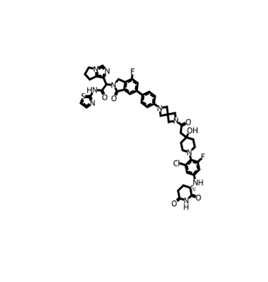 O=C1CC[C@H](Nc2cc(F)c(N3CCC(O)(CC(=O)N4CC5(C4)CN(c4ccc(-c6cc(F)c7c(c6)C(=O)N(C(C(=O)Nc6nccs6)c6ncn8c6CCC8)C7)cc4)C5)CC3)c(Cl)c2)C(=O)N1